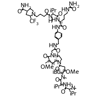 CC[C@H](C)[C@@H]([C@@H](CC(=O)N1CCC[C@H]1[C@H](OC)[C@@H](C)C(=O)NCC(=O)NCc1ccc(NC(=O)[C@H](CCCNC(N)=O)NC(=O)C(NC(=O)CCCN2CCC(C(N)=O)CC2C(F)(F)F)C(C)C)cc1)OC)N(C)C(=O)[C@@H](NC(=O)C(C(C)C)N(C)C)C(C)C